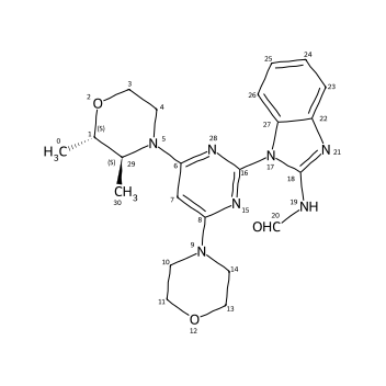 C[C@@H]1OCCN(c2cc(N3CCOCC3)nc(-n3c(NC=O)nc4ccccc43)n2)[C@H]1C